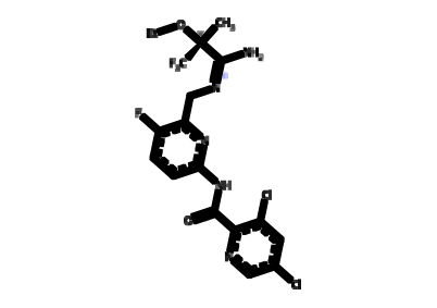 CCO[C@](C)(/C(N)=N\Cc1nc(NC(=O)c2ncc(Cl)cc2Cl)ccc1F)C(F)(F)F